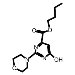 CCCCOC(=O)c1cc(O)nc(N2CCOCC2)n1